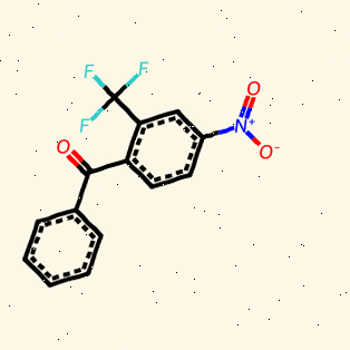 O=C(c1ccccc1)c1ccc([N+](=O)[O-])cc1C(F)(F)F